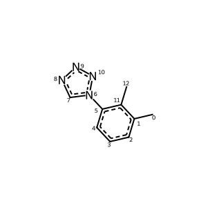 Cc1cccc(-n2cnnn2)c1C